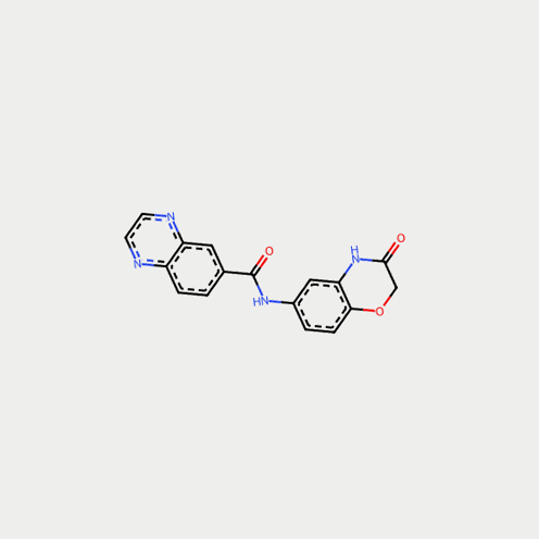 O=C1COc2ccc(NC(=O)c3ccc4nccnc4c3)cc2N1